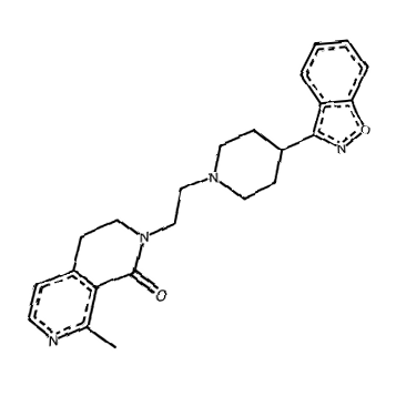 Cc1nccc2c1C(=O)N(CCN1CCC(c3noc4ccccc34)CC1)CC2